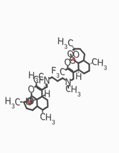 C[C@@H]1CC[C@H]2C(CN(C)CCCN(C)CC3=C(C(F)(F)F)O[C@@H]4O[C@]5(C)CCC6[C@H](C)CC[C@@H]3[C@]64OO5)=C(C(F)(F)F)OC3O[C@]4(C)CCC1[C@]32OO4